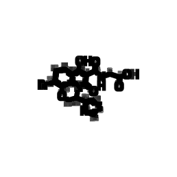 O=C(O)CNC(=O)c1c(O)c2ccc(Br)c3c2n(c1=O)C(c1cscn1)CO3